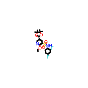 CCOc1ncc(B2OC(C)(C)C(C)(C)O2)cc1S(=O)(=O)Nc1ccc(F)cc1F